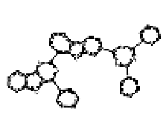 c1ccc(-c2cc(-c3ccc4c(c3)oc3c(-c5nc(-c6ccccc6)c6oc7ccccc7c6n5)cccc34)nc(-c3ccccc3)n2)cc1